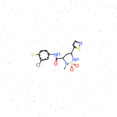 CN1C(C(=O)Nc2ccc(F)c(Cl)c2)CC(c2ccns2)NS1(=O)=O